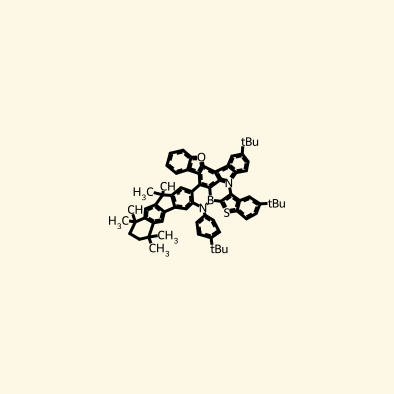 CC(C)(C)c1ccc(N2B3c4sc5ccc(C(C)(C)C)cc5c4-n4c5ccc(C(C)(C)C)cc5c5c6oc7ccccc7c6c(c3c54)-c3cc4c(cc32)-c2cc3c(cc2C4(C)C)C(C)(C)CCC3(C)C)cc1